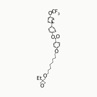 CCC1(COCCCCCCCCOc2ccc(C(=O)Oc3ccc(-c4ccc(OC(F)(F)F)cc4)cc3)cc2)COC1